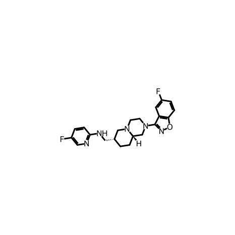 Fc1ccc(NC[C@H]2CC[C@H]3CN(c4noc5ccc(F)cc45)CCN3C2)nc1